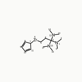 CN(C)C(C[CH2][Zr][CH]1C=CC=C1)(N(C)C)N(C)C